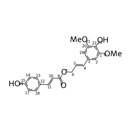 COc1cc(/C=C/COC(=O)/C=C/c2ccc(O)cc2)cc(OC)c1O